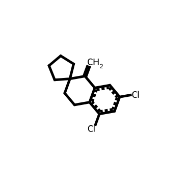 C=C1c2cc(Cl)cc(Cl)c2CCC12CCCC2